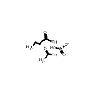 CC(=O)O.CCCC(=O)O.O=[N+]([O-])O